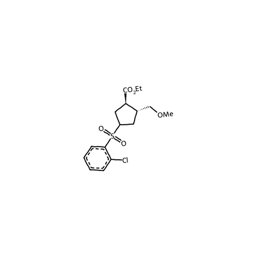 CCOC(=O)[C@@H]1CC(S(=O)(=O)c2ccccc2Cl)C[C@H]1COC